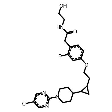 O=C(Cc1ccc(OCCC2CC2C2CCN(c3ncc(Cl)cn3)CC2)cc1F)NCCO